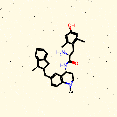 CC(=O)N1CC[C@@H](NC(=O)[C@@H](N)Cc2c(C)cc(O)cc2C)c2cc(CC3Cc4ccccc4[C@@H]3C)ccc21